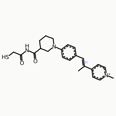 C/C(=C\c1ccc(N2CCCC(C(=O)NC(=O)CS)C2)cc1)c1cc[n+](C)cc1